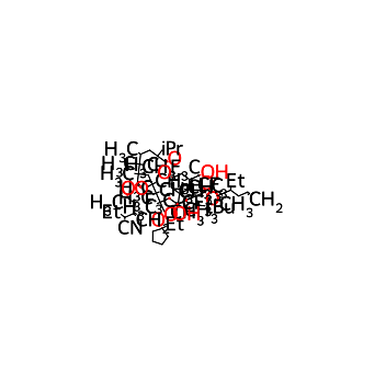 C=CCC(CC)C(C)(C)OC(=O)C(C)(CC(C)(C)C)C(C)(C)C(C)CC(C)(C(=O)OC1(CC)CCCC1)C(C)(C)C(C)(C)CC(C)(C(=O)OC(C)CC(=C)C(C#N)CC)C(C)(C)C(C)CC(C)(C(=O)OC1CC(C(O)(C(F)(F)F)C(F)(F)F)CC(C(O)(C(F)(F)F)C(F)(F)F)C1)C(C)C